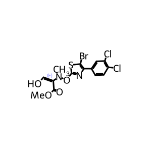 COC(=O)/C(=C\O)N(C)Oc1nc(-c2ccc(Cl)c(Cl)c2)c(Br)s1